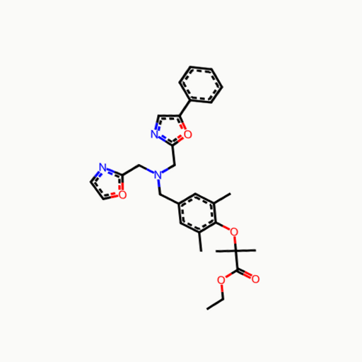 CCOC(=O)C(C)(C)Oc1c(C)cc(CN(Cc2ncco2)Cc2ncc(-c3ccccc3)o2)cc1C